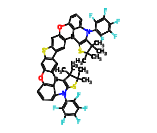 CC1(C)SC2=C(B3c4cc5c(cc4Oc4cccc(c43)N2c2c(F)c(F)c(F)c(F)c2F)sc2cc3c(cc25)B2C4=C(N(c5c(F)c(F)c(F)c(F)c5F)c5cccc(c52)O3)C(C)(C)C(C)(C)S4)C1(C)C